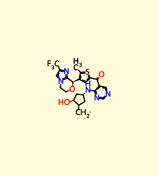 [CH2][C@@H]1C[C@@H](Nc2ncncc2C(=O)c2cc([C@H]3OCCn4cc(C(F)(F)F)nc43)c(C)s2)C[C@@H]1O